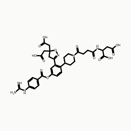 N=C(N)Nc1ccc(C(=O)Oc2ccc(C3CCN(C(=O)CCC(=O)NC(CC(=O)O)C(=O)O)CC3)c(C3=NOC(CC(=O)O)(CC(=O)O)C3)c2)cc1